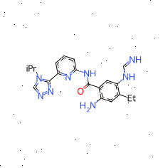 CCc1cc(N)c(C(=O)Nc2cccc(-c3nncn3C(C)C)n2)cc1NC=N